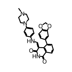 CN1CCN(c2ccc(NC=C3C(=O)NC(=O)c4cccc(-c5ccc6c(c5)OCO6)c43)cc2)CC1